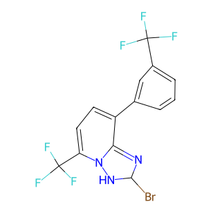 FC(F)(F)C1=CC=C(c2cccc(C(F)(F)F)c2)C2=NC(Br)NN12